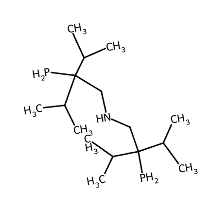 CC(C)C(P)(CNCC(P)(C(C)C)C(C)C)C(C)C